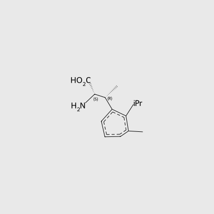 Cc1cccc([C@@H](C)[C@H](N)C(=O)O)c1C(C)C